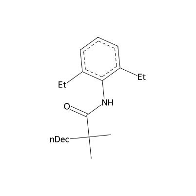 CCCCCCCCCCC(C)(C)C(=O)Nc1c(CC)cccc1CC